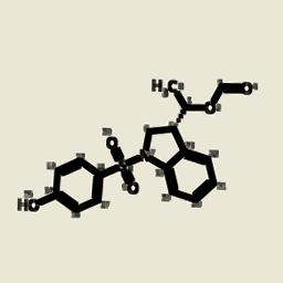 CC(OC=O)[C@H]1CN(S(=O)(=O)c2ccc(O)cc2)c2ccccc21